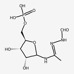 CC(=NNC=O)NC1O[C@H](COP(=O)(O)O)[C@@H](O)[C@H]1O